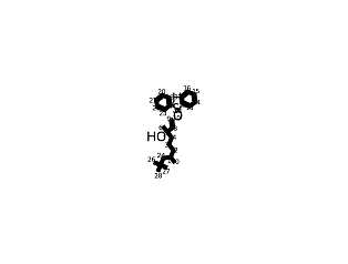 CC(CCCC(C)(O)C=CO[SiH](c1ccccc1)c1ccccc1)CC(C)(C)C